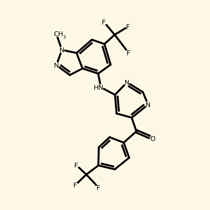 Cn1ncc2c(Nc3cc(C(=O)c4ccc(C(F)(F)F)cc4)ncn3)cc(C(F)(F)F)cc21